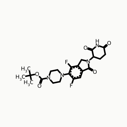 CC(C)(C)OC(=O)N1CCN(c2c(F)cc3c(c2F)CN(C2CCC(=O)NC2=O)C3=O)CC1